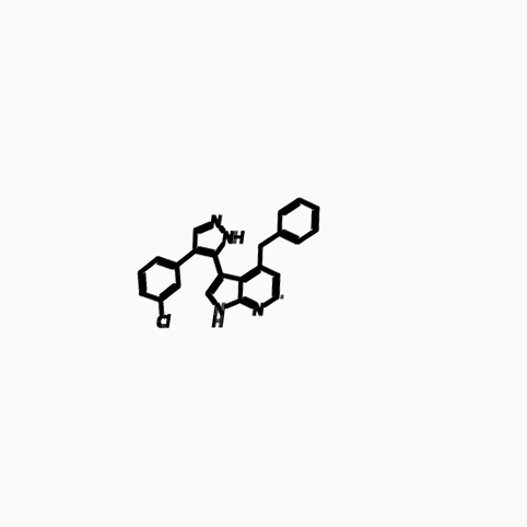 Clc1cccc(-c2cn[nH]c2-c2c[nH]c3n[c]cc(Cc4ccccc4)c23)c1